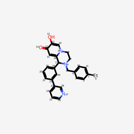 CCc1ccc(CN2CCn3cc(O)c(=O)cc3C2c2cccc(-c3cccnc3)c2)cc1